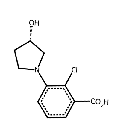 O=C(O)c1cccc(N2CC[C@H](O)C2)c1Cl